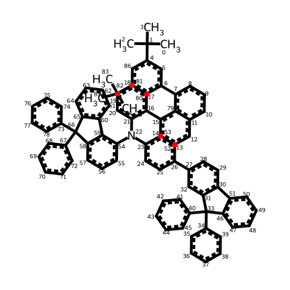 CC(C)(C)c1cc(-c2cccc3cccc(-c4ccccc4N(c4ccc(-c5ccc6c(c5)C(c5ccccc5)(c5ccccc5)c5ccccc5-6)cc4)c4cccc5c4-c4ccccc4C5(c4ccccc4)c4ccccc4)c23)cc(C(C)(C)C)c1